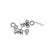 CCCCCc1ccc(S(=O)(=O)NCCc2c(-c3cccs3)n[nH]c2-c2cc3ccccc3s2)cc1